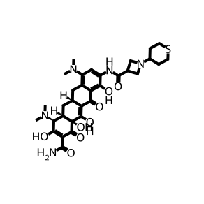 CN(C)c1cc(NC(=O)C2CN(C3CCSCC3)C2)c(O)c2c1C[C@H]1C[C@H]3[C@H](N(C)C)C(O)=C(C(N)=O)C(=O)[C@@]3(O)C(O)=C1C2=O